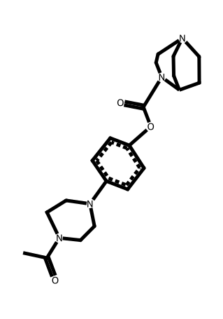 CC(=O)N1CCN(c2ccc(OC(=O)N3CCN4CCC3CC4)cc2)CC1